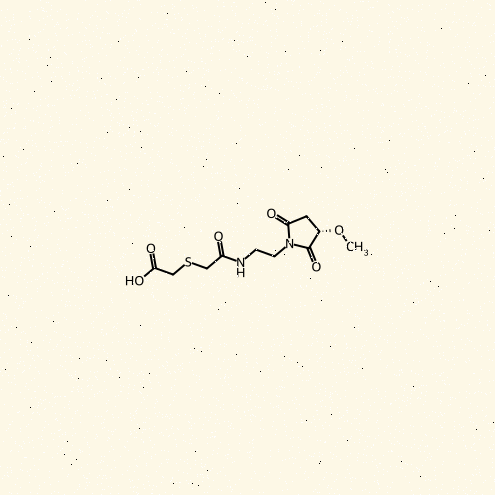 CO[C@H]1CC(=O)N(CCNC(=O)CSCC(=O)O)C1=O